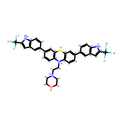 FC(F)(F)c1cc2cc(-c3ccc4c(c3)Sc3cc(-c5ccc6[nH]c(C(F)(F)F)cc6c5)ccc3N4CCN3CCOCC3)ccc2[nH]1